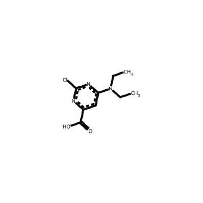 CCN(CC)c1cc(C(=O)O)nc(Cl)n1